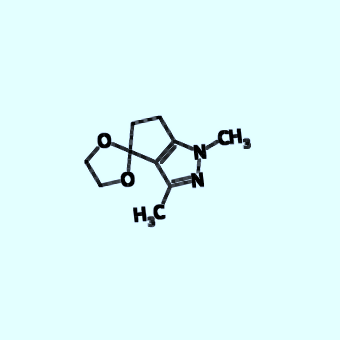 Cc1nn(C)c2c1C1(CC2)OCCO1